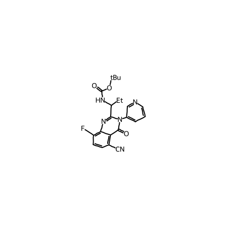 CCC(NC(=O)OC(C)(C)C)c1nc2c(F)ccc(C#N)c2c(=O)n1-c1cccnc1